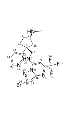 CN[C@@H]1CC[C@@](CNc2cc(C(F)(F)F)nc3cc(Br)nn23)(c2cccnc2)C1